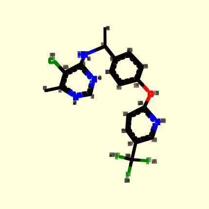 Cc1ncnc(NC(C)c2ccc(Oc3ccc(C(F)(F)F)cn3)cc2)c1Cl